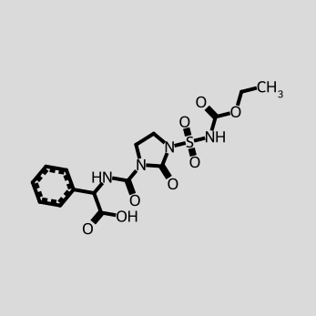 CCOC(=O)NS(=O)(=O)N1CCN(C(=O)NC(C(=O)O)c2ccccc2)C1=O